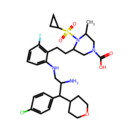 CC1CN(C(=O)O)CC(CCc2c(F)cccc2NCC(N)C(c2ccc(Cl)cc2)C2CCOCC2)N1S(=O)(=O)C1CC1